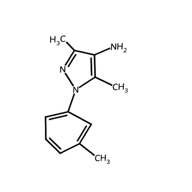 Cc1cccc(-n2nc(C)c(N)c2C)c1